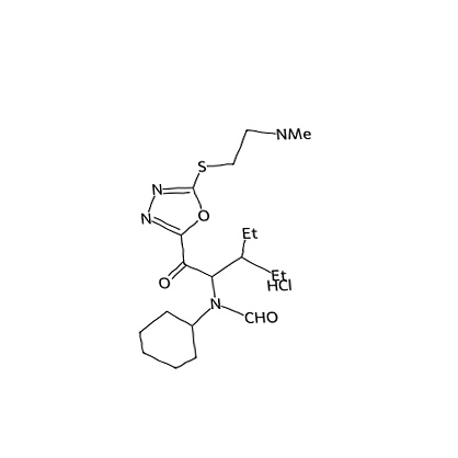 CCC(CC)C(C(=O)c1nnc(SCCNC)o1)N(C=O)C1CCCCC1.Cl